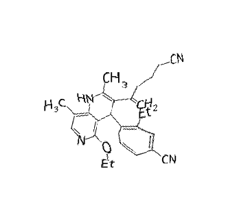 C=C(CCCC#N)C1=C(C)Nc2c(C)cnc(OCC)c2C1c1ccc(C#N)cc1CC